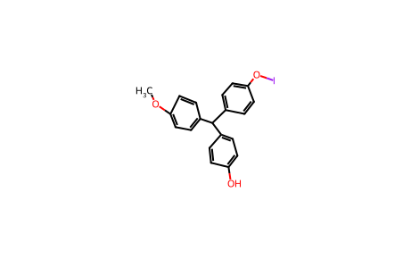 COc1ccc(C(c2ccc(O)cc2)c2ccc(OI)cc2)cc1